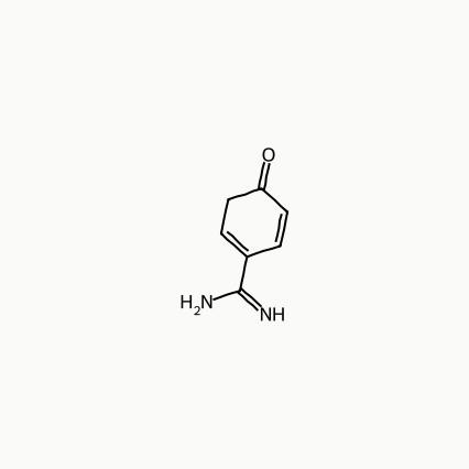 N=C(N)C1=CCC(=O)C=C1